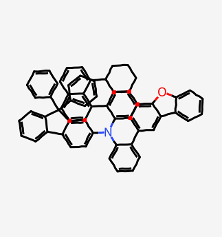 c1ccc(C2(c3ccccc3)c3ccccc3-c3ccc(N(c4ccccc4-c4ccc5oc6ccccc6c5c4)c4ccccc4-c4cccc5cccc(C6CCCCC6)c45)cc32)cc1